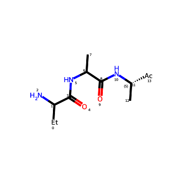 CCC(N)C(=O)NC(C)C(=O)N[C@@H](C)C(C)=O